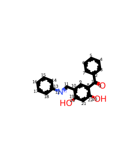 O=C(c1ccccc1)c1cc(/C=N/c2ccccc2)c(O)cc1O